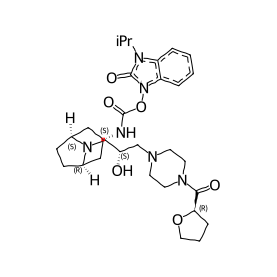 CC(C)n1c(=O)n(OC(=O)N[C@@H]2C[C@H]3CC[C@@H](C2)N3C[C@@H](O)CN2CCN(C(=O)[C@H]3CCCO3)CC2)c2ccccc21